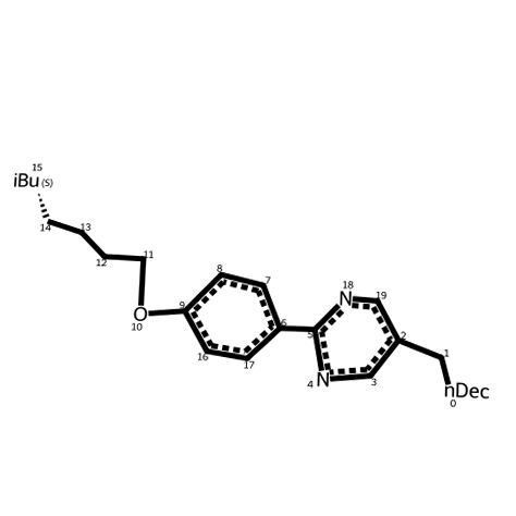 CCCCCCCCCCCc1cnc(-c2ccc(OCCCC[C@@H](C)CC)cc2)nc1